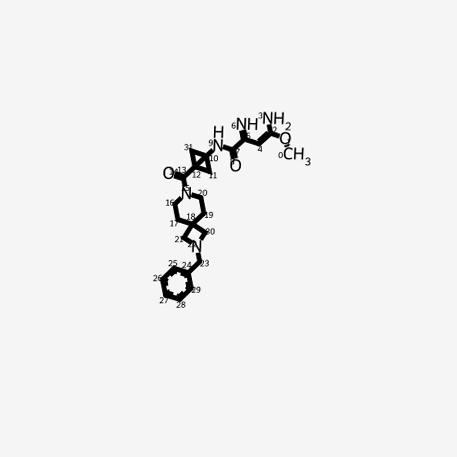 CO/C(N)=C/C(=N)C(=O)NC12CC1(C(=O)N1CCC3(CC1)CN(Cc1ccccc1)C3)C2